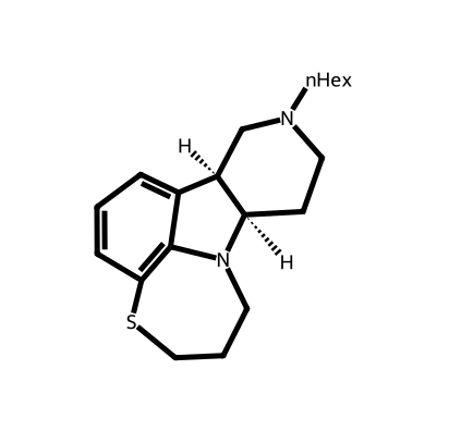 CCCCCCN1CC[C@@H]2[C@H](C1)c1cccc3c1N2CCCS3